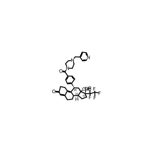 CC12C[C@H](c3ccc(C(=O)N4CCN(Cc5ccncc5)CC4)cc3)C3=C4CCC(=O)C=C4CCC3[C@@H]1CC[C@@]2(O)C(F)(F)C(F)(F)F